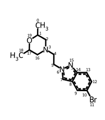 CC1CN(CCn2cc3cc(Br)ccc3n2)CC(C)O1